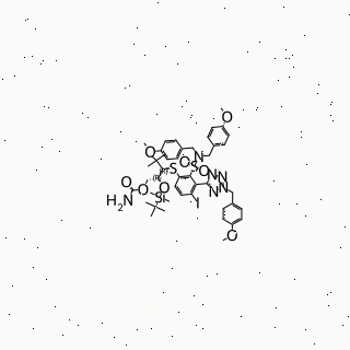 COc1ccc(CN(Cc2ccc(OC)cc2)S(=O)(=O)c2c(S[C@@H]([C@@H](COC(N)=O)O[Si](C)(C)C(C)(C)C)C(C)(C)C)ccc(I)c2-c2nnn(Cc3ccc(OC)cc3)n2)cc1